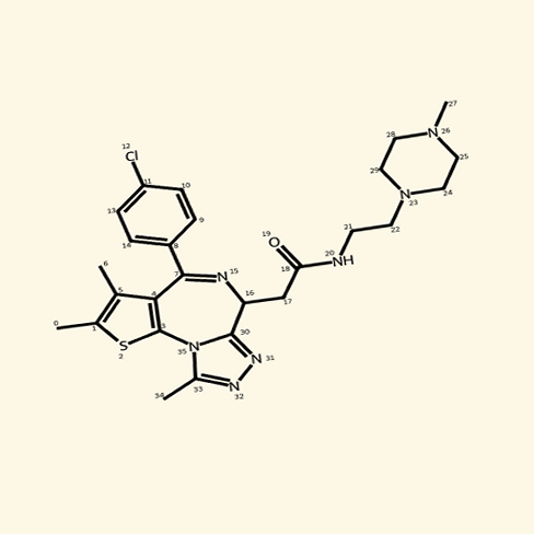 Cc1sc2c(c1C)C(c1ccc(Cl)cc1)=NC(CC(=O)NCCN1CCN(C)CC1)c1nnc(C)n1-2